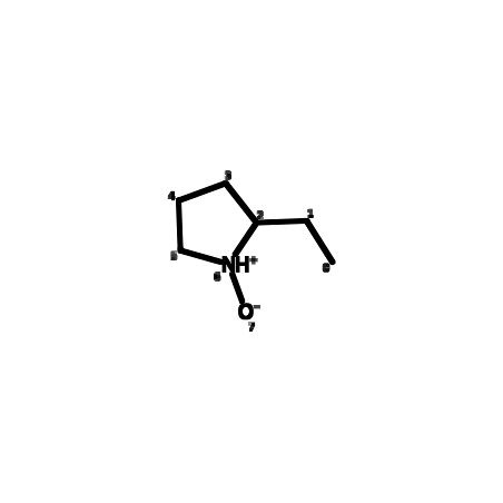 CCC1CCC[NH+]1[O-]